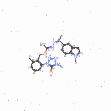 CC/C(=N\N=C(\C)c1ccc2c(ccn2C)c1)OCc1c(C)cccc1-n1nnn(C)c1=O